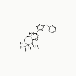 CN1C(=O)[C@@H](NC(=O)c2ncn(Cc3ccccc3)n2)CC[C@H]2[C@H]1C2(F)F